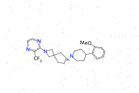 COc1ccccc1C1CCN([C@@H]2CCC3(C2)CN(c2nccnc2C(F)(F)F)C3)CC1